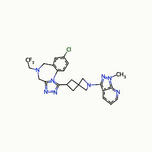 Cn1nc(N2CC3(CC(c4nnc5n4-c4ccc(Cl)cc4CN(CC(F)(F)F)C5)C3)C2)c2cccnc21